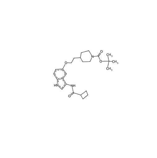 CC(C)(C)OC(=O)N1CCC(CCOc2ccc3[nH]cc(NC(=O)C4CCC4)c3c2)CC1